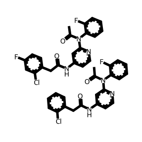 CC(=O)N(c1cc(NC(=O)Cc2ccc(F)cc2Cl)ccn1)c1ccccc1F.CC(=O)N(c1cc(NC(=O)Cc2ccccc2Cl)ccn1)c1ccccc1F